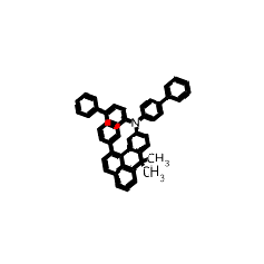 CC1(C)c2ccc(N(c3ccc(-c4ccccc4)cc3)c3ccc(-c4ccccc4)cc3)cc2-c2c(-c3ccccc3)ccc3cccc1c23